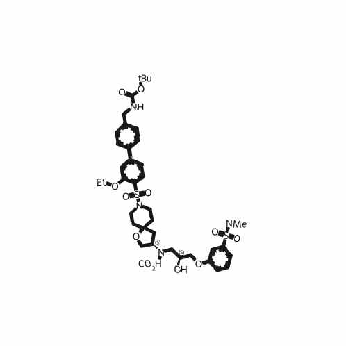 CCOc1cc(-c2ccc(CNC(=O)OC(C)(C)C)cc2)ccc1S(=O)(=O)N1CCC2(CC1)C[C@H](N(C[C@H](O)COc1cccc(S(=O)(=O)NC)c1)C(=O)O)CO2